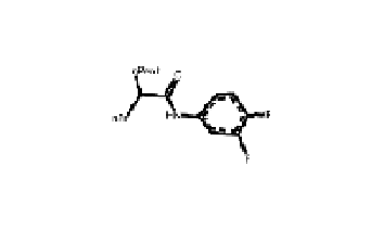 CCCCCC(CCC)C(=O)Nc1ccc(F)c(F)c1